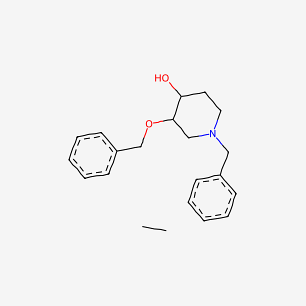 CC.OC1CCN(Cc2ccccc2)CC1OCc1ccccc1